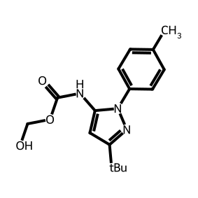 Cc1ccc(-n2nc(C(C)(C)C)cc2NC(=O)OCO)cc1